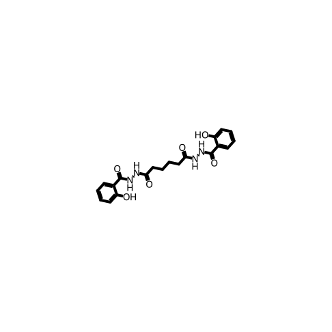 O=C(CCCCC(=O)NNC(=O)c1ccccc1O)NNC(=O)c1ccccc1O